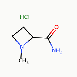 CN1CCC1C(N)=O.Cl